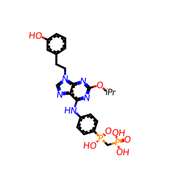 CC(C)Oc1nc(Nc2ccc(P(=O)(O)CP(=O)(O)O)cc2)c2ncn(CCc3cccc(O)c3)c2n1